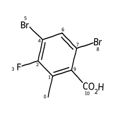 Cc1c(F)c(Br)cc(Br)c1C(=O)O